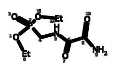 CCOP(=O)(CNC(=O)C(N)=O)OCC